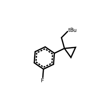 CC(C)(C)CC1(c2cccc(F)c2)CC1